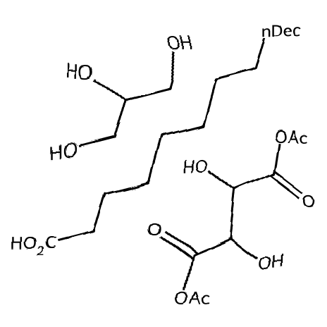 CC(=O)OC(=O)C(O)C(O)C(=O)OC(C)=O.CCCCCCCCCCCCCCCCCC(=O)O.OCC(O)CO